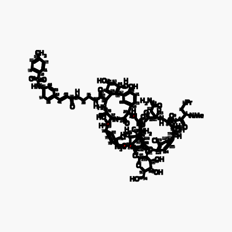 CN[C@H](CC(C)C)C(=O)N[C@H]1C(=O)N[C@@H](CC(N)=O)C(=O)NC2C(=O)N[C@H]3C(=O)N[C@H](C(=O)NC(C(=O)NCCNC(=O)/C=C/c4ccc(NS(=O)(=O)c5ccc(C)cc5)cc4)c4cc(O)cc(O)c4-c4cc3ccc4O)[C@H](O)c3ccc(c(Cl)c3)Oc3cc2cc(c3O[C@@H]2O[C@H](CO)[C@@H](O)[C@H](O)[C@H]2OC2C[C@](C)(N)[C@H](O)[C@H](C)O2)Oc2ccc(cc2Cl)[C@H]1O